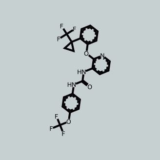 O=C(Nc1ccc(OC(F)(F)F)cc1)Nc1cccnc1Oc1ccccc1C1(C(F)(F)F)CC1